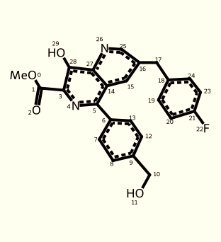 COC(=O)c1nc(-c2ccc(CO)cc2)c2cc(Cc3ccc(F)cc3)cnc2c1O